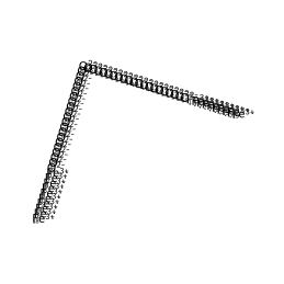 [Fe+3].[Fe+3].[Fe+3].[Fe+3].[Fe+3].[Fe+3].[Fe+3].[Fe+3].[Fe+3].[Fe+3].[Fe+3].[Fe+3].[Fe+3].[Fe+3].[Fe+3].[Fe+3].[Fe+3].[Fe+3].[Fe+3].[Fe+3].[O-2].[O-2].[O-2].[O-2].[O-2].[O-2].[O-2].[O-2].[O-2].[O-2].[O-2].[O-2].[O-2].[O-2].[O-2].[O-2].[O-2].[O-2].[O-2].[O-2].[O-2].[O-2].[O-2].[O-2].[O-2].[O-2].[O-2].[O-2].[O-2].[O-2].[O-2].[O-2].[O-2].[O-2].[O-2].[O-2].[O-2].[O-2].[O-2].[O-2].[O-2]